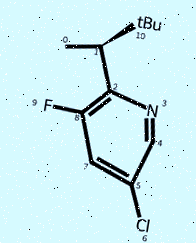 C[C@H](c1ncc(Cl)cc1F)C(C)(C)C